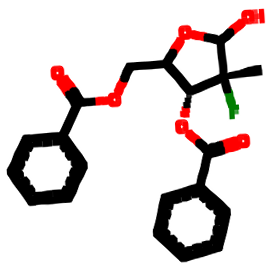 C[C@]1(F)C(O)OC(COC(=O)c2ccccc2)[C@H]1OC(=O)c1ccccc1